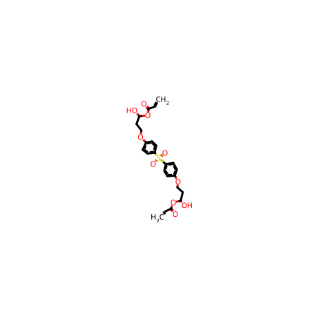 C=CC(=O)OC(O)CCOc1ccc(S(=O)(=O)c2ccc(OCCC(O)OC(=O)C=C)cc2)cc1